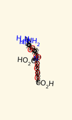 NC(N)Nc1ccc(C(=O)Oc2ccc(COC(=O)N(CCOCCOCCOCCOCCC(=O)O)CC(=O)O)cc2)cc1